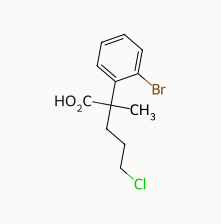 CC(CCCCl)(C(=O)O)c1ccccc1Br